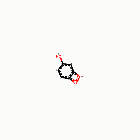 Oc1ccc2ooc2c1